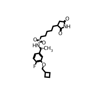 C[C@@H](NS(=O)(=O)CCCCCC1CC(=O)NC1=O)c1ccc(F)c(OCC2CCC2)c1